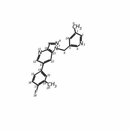 Cc1cncc(Cn2ncc3ncc(-c4ccc(F)c(C)c4)cc32)c1